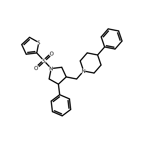 O=S(=O)(c1cccs1)N1CC(CN2CCC(c3ccccc3)CC2)C(c2ccccc2)C1